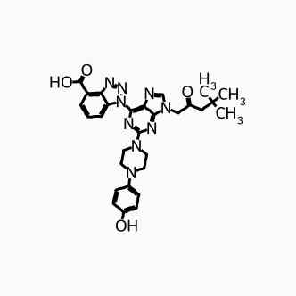 CC(C)(C)CC(=O)Cn1cnc2c(-n3nnc4c(C(=O)O)cccc43)nc(N3CCN(c4ccc(O)cc4)CC3)nc21